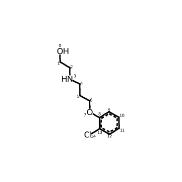 OCCNCCCOc1ccccc1Cl